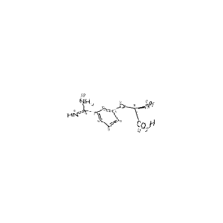 CCC[C@H](Oc1cccc(C(=N)N)c1)C(=O)O